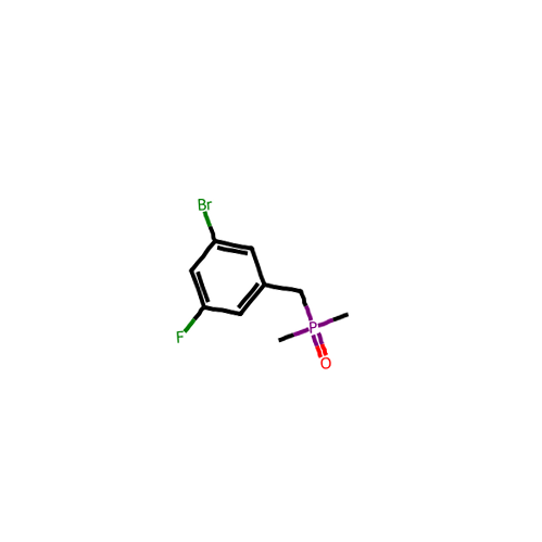 CP(C)(=O)Cc1cc(F)cc(Br)c1